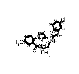 Cc1ccc(-n2nccn2)c(C(=O)N[C@H](C)CCNc2nc3cc(Cl)ccc3o2)c1